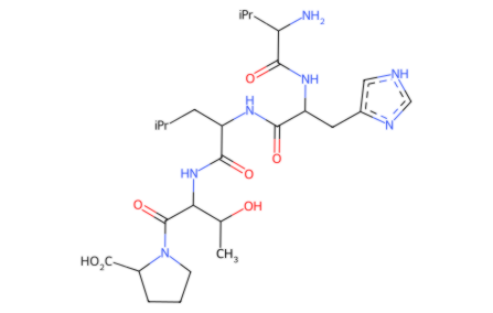 CC(C)CC(NC(=O)C(Cc1c[nH]cn1)NC(=O)C(N)C(C)C)C(=O)NC(C(=O)N1CCCC1C(=O)O)C(C)O